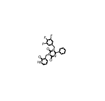 O=c1[nH]cccc1Cn1c(=O)nc(-c2ccccc2)n(Cc2cc(F)c(F)c(F)c2)c1=O